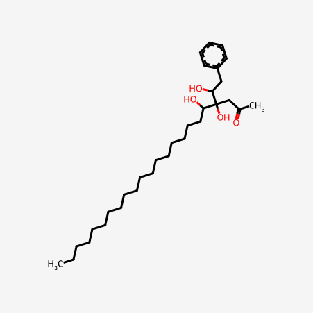 CCCCCCCCCCCCCCCCCCC(O)C(O)(CC(C)=O)C(O)Cc1ccccc1